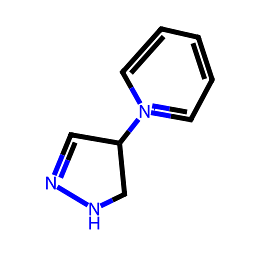 C1=NNCC1[n+]1ccccc1